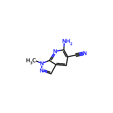 Cn1ncc2cc(C#N)c(N)nc21